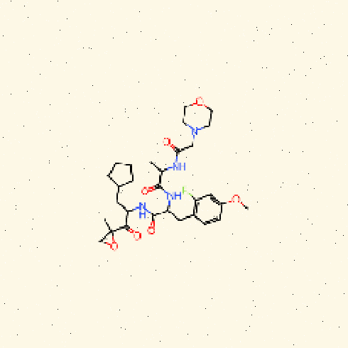 COc1ccc(CC(NC(=O)C(C)NC(=O)CN2CCOCC2)C(=O)NC(CC2CCCC2)C(=O)C2(C)CO2)c(F)c1